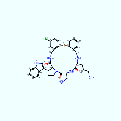 CCN1C(=O)[C@H](CN)NC(=O)[C@H](CCCN)NCc2ccccc2Sc2ccc(Cl)cc2CNC(=O)[C@@H]1Cc1c[nH]c2ccccc12